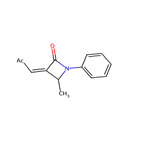 CC(=O)C=C1C(=O)N(c2ccccc2)C1C